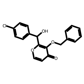 O=c1ccoc(C(O)c2ccc(Cl)cc2)c1OCc1ccccc1